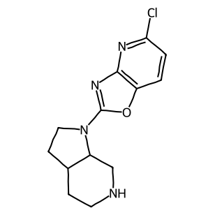 Clc1ccc2oc(N3CCC4CCNCC43)nc2n1